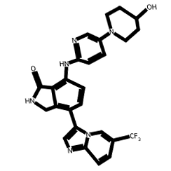 O=C1NCc2c(-c3cnc4ccc(C(F)(F)F)cn34)ccc(Nc3ccc(N4CCC(O)CC4)cn3)c21